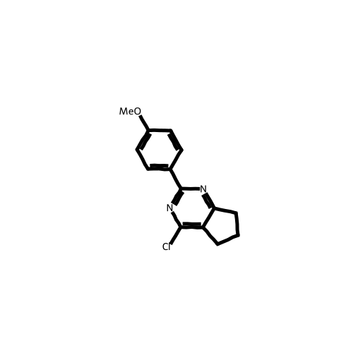 COc1ccc(-c2nc(Cl)c3c(n2)CCC3)cc1